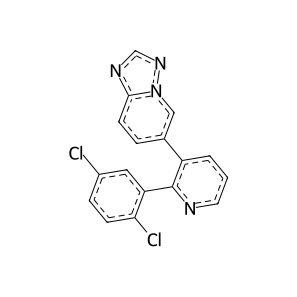 Clc1ccc(Cl)c(-c2ncccc2-c2ccc3ncnn3c2)c1